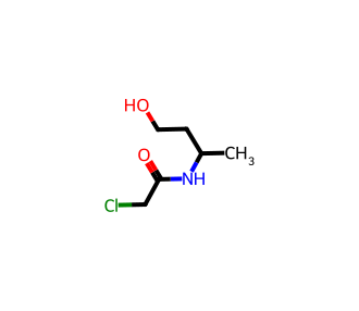 CC(CCO)NC(=O)CCl